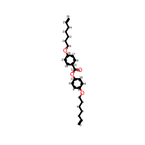 C=CCCCCCOc1ccc(OC(=O)c2ccc(OCCCCCC=C)cc2)cc1